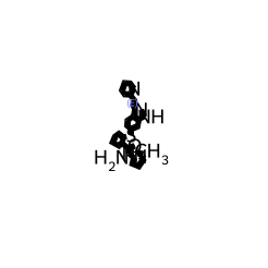 Cn1cccc1N(N)C(=O)c1ccccc1Sc1ccc2c(/C=C/c3ccccn3)n[nH]c2c1